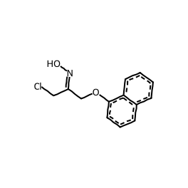 ON=C(CCl)COc1cccc2ccccc12